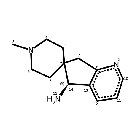 CN1CCC2(CC1)Cc1ncccc1[C@H]2N